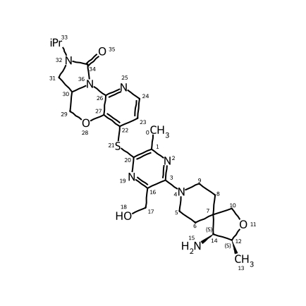 Cc1nc(N2CCC3(CC2)CO[C@@H](C)[C@H]3N)c(CO)nc1Sc1ccnc2c1OCC1CN(C(C)C)C(=O)N21